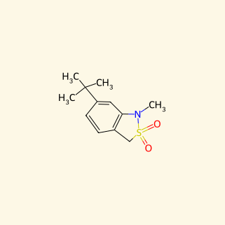 CN1c2cc(C(C)(C)C)ccc2CS1(=O)=O